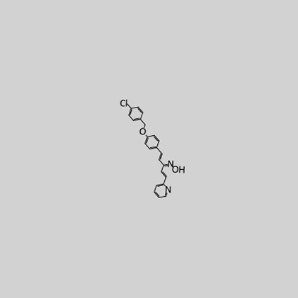 ON=C(C=Cc1ccc(OCc2ccc(Cl)cc2)cc1)C=Cc1ccccn1